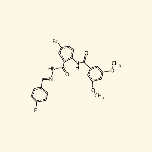 COc1cc(OC)cc(C(=O)Nc2ccc(Br)cc2C(=O)N/N=C/c2ccc(F)cc2)c1